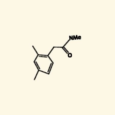 CNC(=O)Cc1ccc(C)cc1C